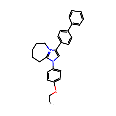 CCOc1ccc(-n2cc(-c3ccc(-c4ccccc4)cc3)[n+]3c2CCCCC3)cc1